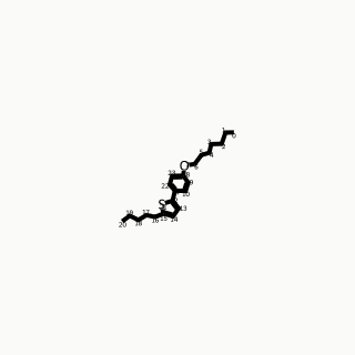 CCCCCCCOc1ccc(-c2ccc(CCCCC)s2)cc1